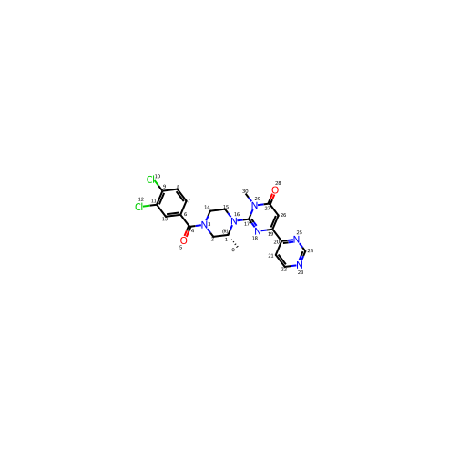 C[C@@H]1CN(C(=O)c2ccc(Cl)c(Cl)c2)CCN1c1nc(-c2ccncn2)cc(=O)n1C